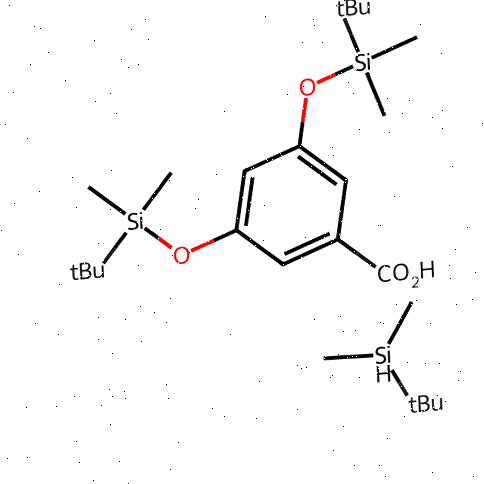 CC(C)(C)[Si](C)(C)Oc1cc(O[Si](C)(C)C(C)(C)C)cc(C(=O)O)c1.C[SiH](C)C(C)(C)C